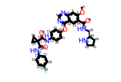 COc1cc2ncnc(Oc3ccc(NC(=O)C4(C(=O)Nc5ccc(F)cc5)CC4)cc3)c2cc1C(=O)NC[C@H]1CCCN1